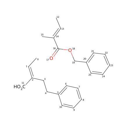 C/C=C(\CCc1ccccc1)C(=O)O.CC=C(C)C(=O)OCc1ccccc1